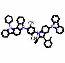 C#Cc1c(-c2ccccc2C)c2cc(-n3c4ccccc4c4ccccc43)ccc2n1-c1cc(C#N)c(-n2c3ccccc3c3c4c(ccc32)c2ccccc2n4C2=CCCC=C2)cc1C#N